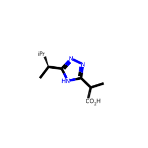 CC(C(=O)O)c1nnc([C@@H](C)C(C)C)[nH]1